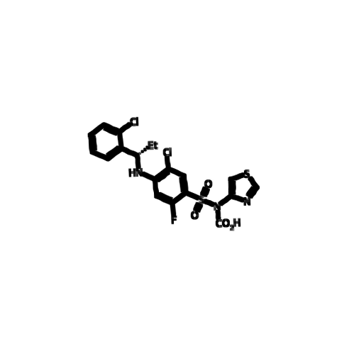 CC[C@H](Nc1cc(F)c(S(=O)(=O)N(C(=O)O)c2cscn2)cc1Cl)c1ccccc1Cl